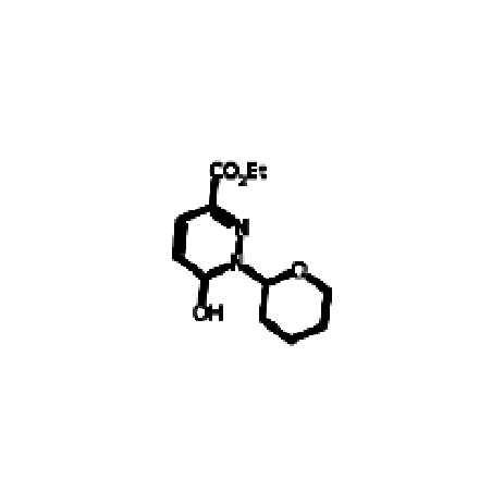 CCOC(=O)C1=NN(C2CCCCO2)C(O)C=C1